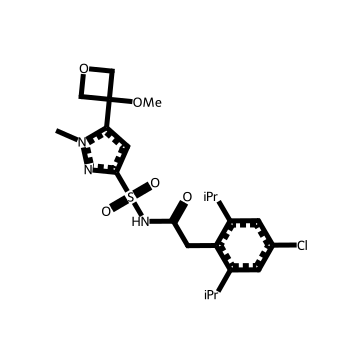 COC1(c2cc(S(=O)(=O)NC(=O)Cc3c(C(C)C)cc(Cl)cc3C(C)C)nn2C)COC1